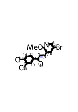 COc1ncc(Br)cc1/C=C/C(=O)c1ccc(Cl)c(Cl)c1